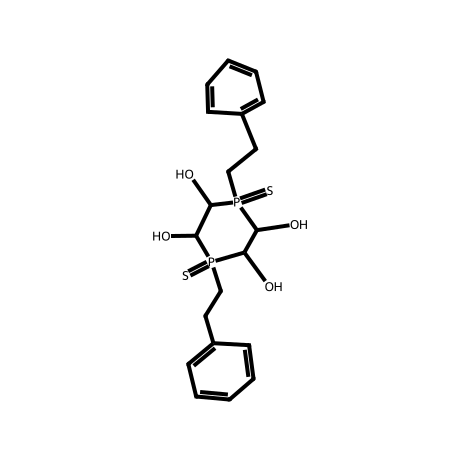 OC1C(O)P(=S)(CCc2ccccc2)C(O)C(O)P1(=S)CCc1ccccc1